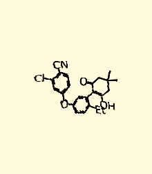 CCc1ccc(Oc2ccc(C#N)c(Cl)c2)cc1C1=C(O)CC(C)(C)CC1=O